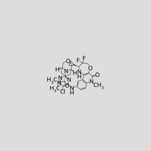 CN(C)C(=O)[C@H]1C[C@H]2COC[C@@H](C1)N2c1ncc(Cl)c(Nc2ccc3c(c2)c2c(c(=O)n3C)OCC(F)(F)[C@H](C3CC3)N2)n1